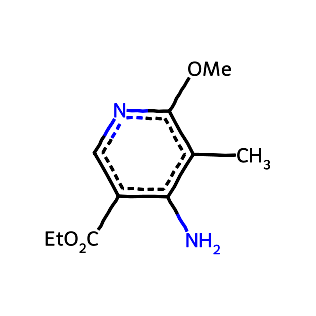 CCOC(=O)c1cnc(OC)c(C)c1N